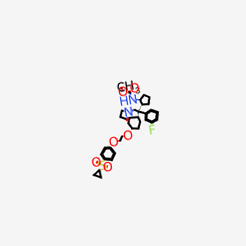 COC(=O)N[C@H]1CCC[C@@H]1C(CN1CCC1)(c1cccc(F)c1)[C@H]1CC[C@H](OCCOc2ccc(S(=O)(=O)C3CC3)cc2)CC1